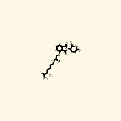 NC(=O)[C@@H](N)CCCCNC(=O)COc1cccc2c1C(=O)N(C1CCC(=O)NC1=O)C2=O